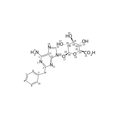 Nc1nc(Cc2ccccc2)nc2c1ncn2O[C@@H]1O[C@H](C(=O)O)[C@@H](O)[C@H](O)[C@H]1O